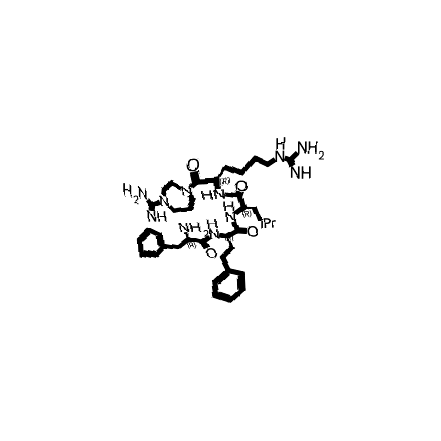 CC(C)C[C@@H](NC(=O)[C@@H](CCc1ccccc1)NC(=O)[C@H](N)Cc1ccccc1)C(=O)N[C@H](CCCCNC(=N)N)C(=O)N1CCCN(C(=N)N)CC1